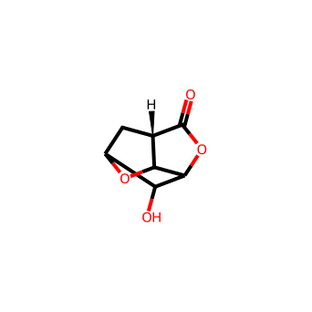 O=C1OC2C(O)C3C[C@H]1C2O3